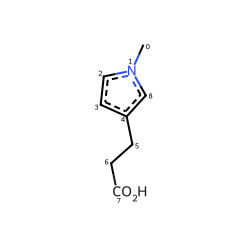 Cn1ccc(CCC(=O)O)c1